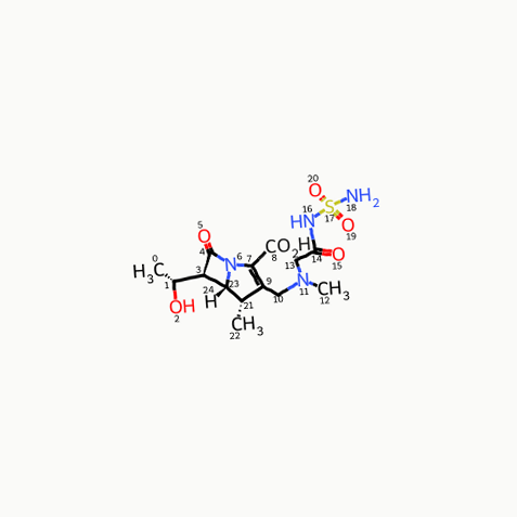 C[C@@H](O)[C@H]1C(=O)N2C(C(=O)O)=C(CN(C)CC(=O)NS(N)(=O)=O)[C@H](C)[C@H]12